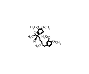 COc1ccc(CN(C)CCCC(C#N)(c2ccc(OC)c(OC)c2)C(C)C)cc1OC